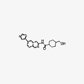 O=C(Nc1cc2cc(-c3cncs3)ccc2cn1)C1CCC(CO)CC1